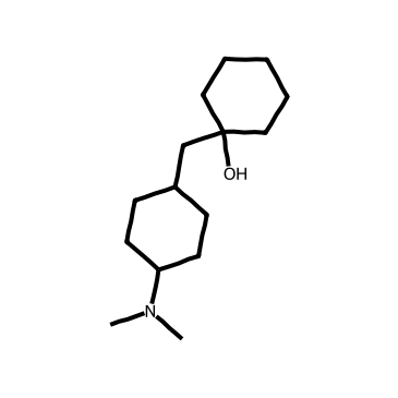 CN(C)C1CCC(CC2(O)CCCCC2)CC1